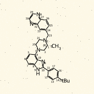 C[C@@H]1CN(c2cccc3[nH]c(-c4ccc(C(C)(C)C)cc4)nc23)CCN1Cc1ccc2nccnc2c1